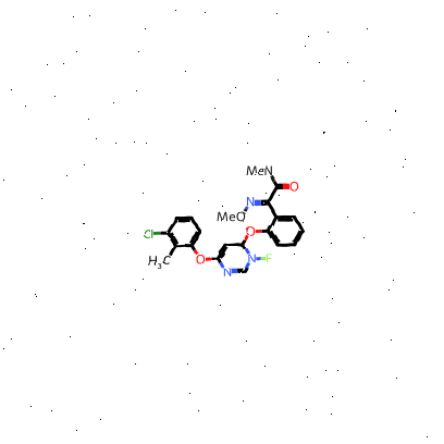 CNC(=O)/C(=N/OC)c1ccccc1OC1C=C(Oc2cccc(Cl)c2C)N=CN1F